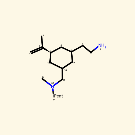 C=C(C)[C@H]1CC(CCN)CC(CN(C)C(C)CCC)C1